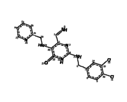 N=Cc1nc(NCc2ccc(Cl)c(Cl)c2)[nH]c(=O)c1NCc1ccccn1